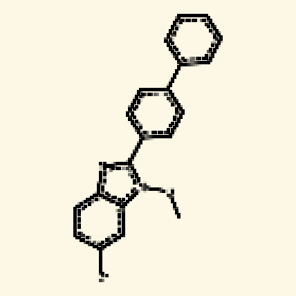 COn1c(-c2ccc(-c3ccccc3)cc2)nc2ccc(Br)cc21